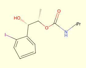 CC(C)NC(=O)O[C@@H](C)[C@@H](O)c1ccccc1I